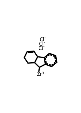 [Cl-].[Cl-].[Cl-].[Zr+3][CH]1c2ccccc2C2C=CCCC12